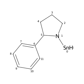 [SnH][N]1CCCC1c1ccccc1